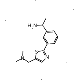 CC(N)c1cccc(-c2ncc(CN(C)C)s2)c1